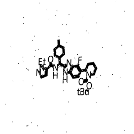 CCn1nccc1C(=O)N[C@H](c1nc2c(F)c(C3CCCCN3C(=O)OC(C)(C)C)ccc2[nH]1)C1CCC(C)CC1